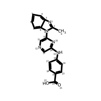 Cc1nc2ccccc2n1-c1cncc(Nc2ccc(C(=O)O)cc2)n1